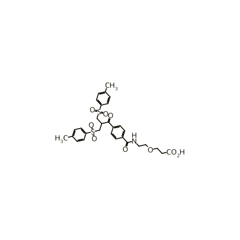 Cc1ccc(S(=O)(=O)CC(CS(=O)(=O)c2ccc(C)cc2)C(=O)c2ccc(C(=O)NCCOCCC(=O)O)cc2)cc1